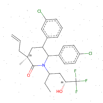 C=CC[C@@]1(C)CC(c2cccc(Cl)c2)C(c2ccc(Cl)cc2)N(C(CC)C[C@@H](O)C(F)(F)F)C1=O